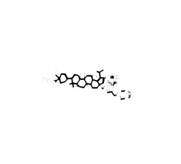 CC(C)C1=C2[C@H]3CC[C@@H]4[C@@]5(C)CC=C(C6=CCC(CF)(C(=O)O)CC6)C(C)(C)[C@@H]5CC[C@@]4(C)[C@]3(C)CC[C@@]2(CNCCCN2CCS(=O)(=O)CC2)C=C1OS(=O)(=O)C(F)(F)F